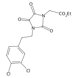 CCOC(=O)CN1C(=O)C(=O)N(CCc2ccc(Cl)c(Cl)c2)C1=O